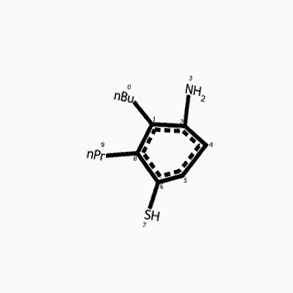 CCCCc1c(N)ccc(S)c1CCC